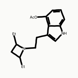 CCC1CC(CC)N1CCc1c[nH]c2cccc(OC(C)=O)c12